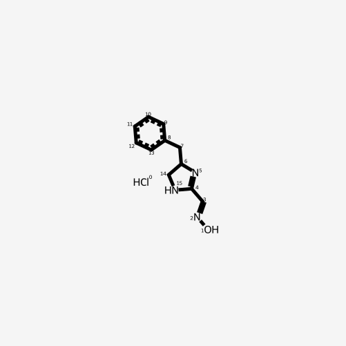 Cl.ON=CC1=NC(Cc2ccccc2)CN1